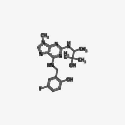 CC(Nc1nc(NCc2cc(F)ccc2O)c2ncn(C)c2n1)C(C)(C)O